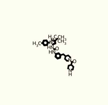 Cc1ccc(-n2nc(C(C)(C)C)cc2NC(=O)Nc2cccc(CC3CCN(C(=O)C4CCNCC4)CC3)c2)cc1